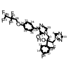 O=c1n(C[C@@](O)(Cn2cncn2)c2ccc(F)cc2F)cnn1-c1ccc(OCC(F)(F)C(F)F)cc1